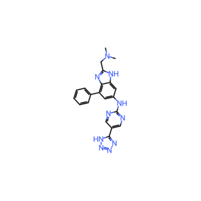 CN(C)Cc1nc2c(-c3ccccc3)cc(Nc3ncc(-c4nnn[nH]4)cn3)cc2[nH]1